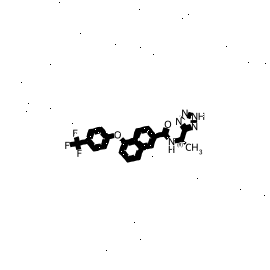 C[C@@H](NC(=O)c1ccc2c(Oc3ccc(C(F)(F)F)cc3)cccc2c1)c1nn[nH]n1